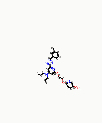 CCCN(CCC)c1cc(N/N=C/c2cccc(C)c2)nc(OCCOc2ccc(O)cn2)c1